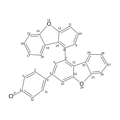 Clc1ccc(-c2cc(-c3cccc4oc5ccccc5c34)c3c(c2)oc2ccccc23)cc1